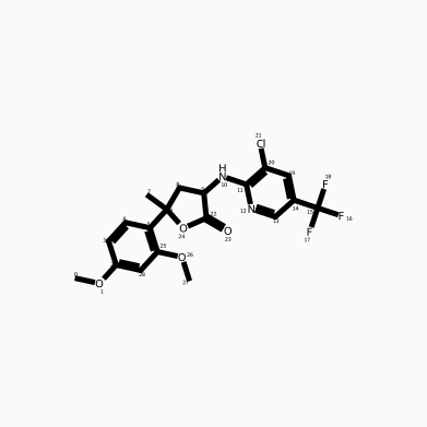 COc1ccc(C2(C)CC(Nc3ncc(C(F)(F)F)cc3Cl)C(=O)O2)c(OC)c1